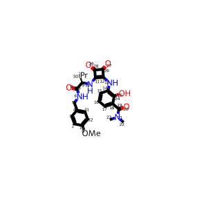 COc1ccc(CNC(=O)[C@H](Nc2c(Nc3cccc(C(=O)N(C)C)c3O)c(=O)c2=O)C(C)C)cc1